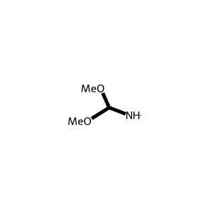 COC([NH])OC